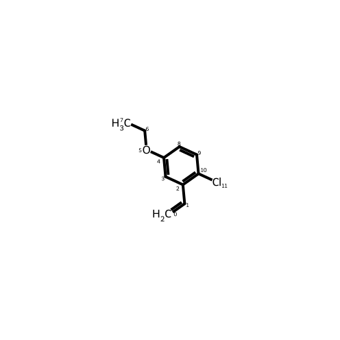 C=Cc1cc(OCC)ccc1Cl